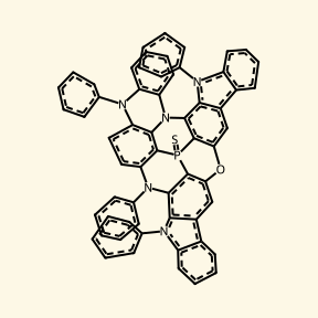 S=P12c3c4ccc5c3N(c3ccccc3N5c3ccccc3)c3c1c(cc1c5ccccc5n(-c5ccccc5)c31)Oc1cc3c5ccccc5n(-c5ccccc5)c3c(c12)N4c1ccccc1